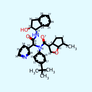 CC1CCC2C(C(=O)N(c3ccc(C(C)(C)C)cc3)C(C(=O)N[C@@H]3c4ccccc4C[C@@H]3O)c3cccnc3)COC12